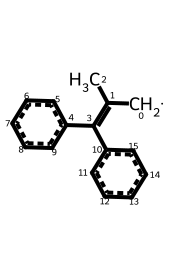 [CH2]C(C)=C(c1ccccc1)c1ccccc1